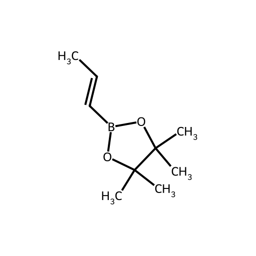 C/C=C/B1OC(C)(C)C(C)(C)O1